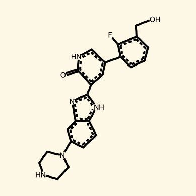 O=c1[nH]cc(-c2cccc(CO)c2F)cc1-c1nc2cc(N3CCNCC3)ccc2[nH]1